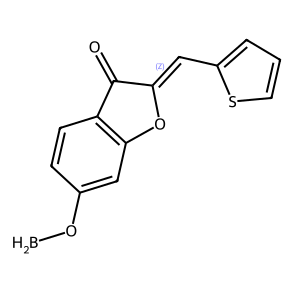 BOc1ccc2c(c1)O/C(=C\c1cccs1)C2=O